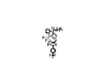 CNC(=O)N(c1ccccc1OC)C1CCN(Cc2nc(-c3ccc(C(F)(F)F)cc3)[nH]c2C)CC1